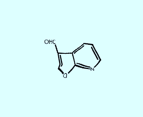 O=Cc1coc2ncccc12